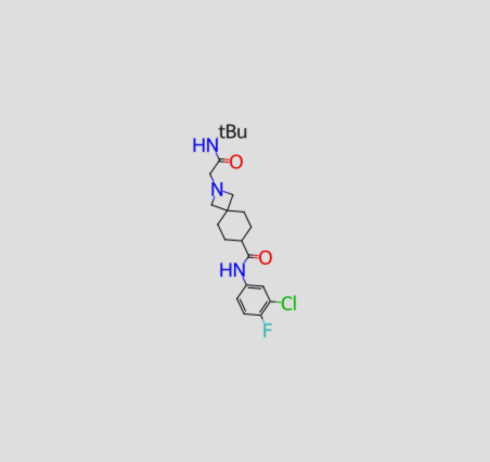 CC(C)(C)NC(=O)CN1CC2(CCC(C(=O)Nc3ccc(F)c(Cl)c3)CC2)C1